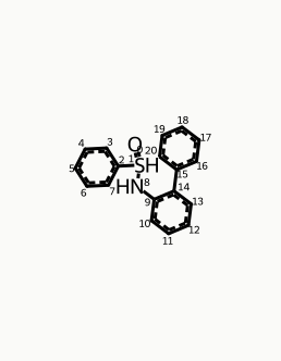 O=[SH]1(c2ccccc2)Nc2ccccc2-c2ccccc21